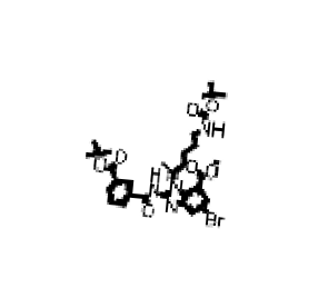 COC(=O)c1cc(Br)cc2nc(NC(=O)c3cccc(C(=O)OC(C)(C)C)c3)n([C@@H](C)CCCCNC(=O)OC(C)(C)C)c12